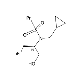 CC(C)C[C@H](CO)N(CC1CC1)S(=O)(=O)C(C)C